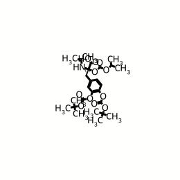 CC(C)N[C@@](Cc1ccc(OC(=O)OC(C)(C)C)c(OC(=O)OC(C)(C)C)c1)(OC(=O)OC(C)C)C(=O)O